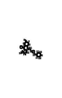 Cc1ccc2c(c1)c(=O)c1c(cnn1C)n2CCOCc1ccccc1